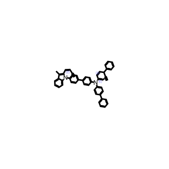 C#C/C=C\c1c(C)c2ccccc2n1-c1ccc(-c2ccc(N(C(/C=C\C(C#C)c3ccccc3)=C/C)c3ccc(-c4ccccc4)cc3)cc2)cc1